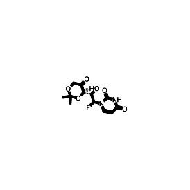 CC1(C)OCC(=O)[C@H](C(O)C(F)n2ccc(=O)[nH]c2=O)O1